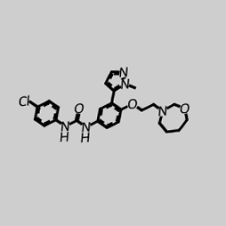 Cn1nccc1-c1cc(NC(=O)Nc2ccc(Cl)cc2)ccc1OCCN1CCCCOC1